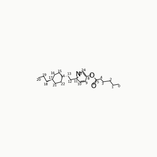 CCCCCC(=O)Oc1ccc(CC[C@H]2CC[C@H](CCC)CC2)nc1